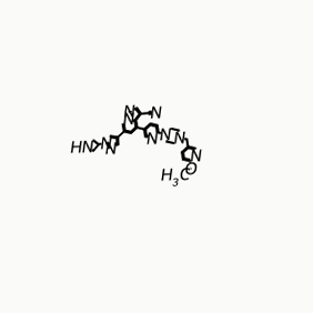 COc1ccc(CN2CCN(c3ccc(-c4cc(-c5cnn(C6CNC6)c5)cn5ncc(C#N)c45)cn3)CC2)cn1